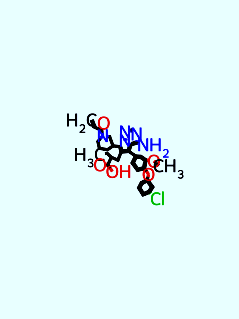 C=CC(=O)N1CCCC(c2c(CC(CC)C(=O)O)c(-c3ccc(Oc4cccc(Cl)c4)c(OC)c3)c3c(N)ncnn23)C1